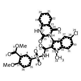 COC(=O)c1cc(S(=O)(=O)NC(=O)c2c(-n3c(=O)[nH]c4ccccc4c3=O)c3cc(Cl)ccc3n2C)ccc1OC